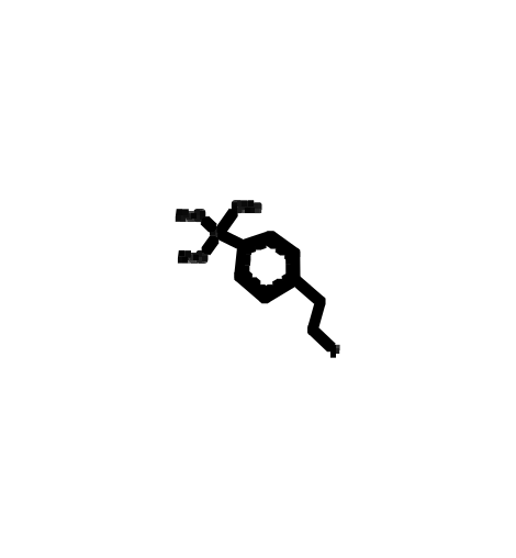 CO[Si](OC)(OC)c1ccc(CCF)cc1